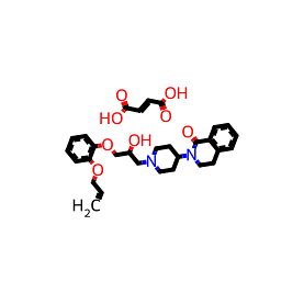 C=CCOc1ccccc1OCC(O)CN1CCC(N2CCc3ccccc3C2=O)CC1.O=C(O)C=CC(=O)O